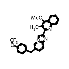 COc1c(C)c(-c2cn3cc(Cc4ccc(OC(F)(F)F)cc4)ccc3n2)nc2ccccc12